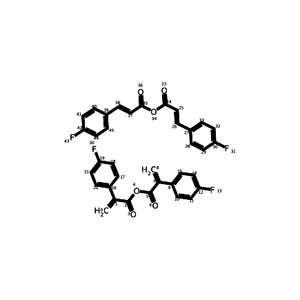 C=C(C(=O)OC(=O)C(=C)c1ccc(F)cc1)c1ccc(F)cc1.O=C(C=Cc1ccc(F)cc1)OC(=O)C=Cc1ccc(F)cc1